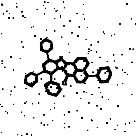 O=c1c2ccc(-c3ccccc3)c3cccc(c32)c2nc3c(-c4ccccc4)cc(-c4ccccc4)c(-c4ccccc4)c3n12